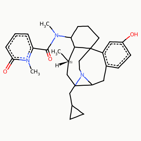 C[C@H]1CCC2Cc3ccc(O)cc3C3(CCCC(N(C)C(=O)c4cccc(=O)n4C)C13)CCN2CC1CC1